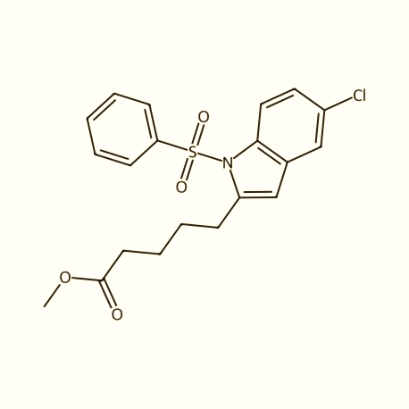 COC(=O)CCCCc1cc2cc(Cl)ccc2n1S(=O)(=O)c1ccccc1